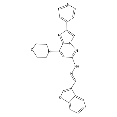 C(=NNc1cc(N2CCOCC2)c2nc(-c3ccncc3)cn2n1)c1coc2ccccc12